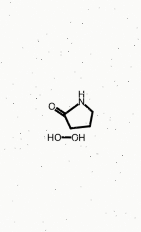 O=C1CCCN1.OO